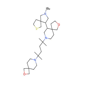 CC(C)(C)N1CC(C2CN(C(C)(C)CCC(C)(C)N3CCC4(CC3)COC4)CCC23CCOC3)C2(CCSC2)C1